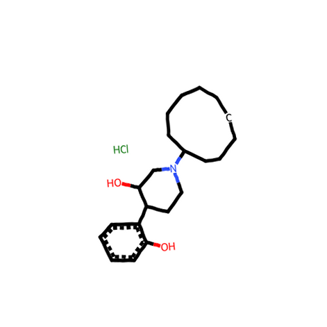 Cl.Oc1ccccc1C1CCN(C2CCCCCCCCC2)CC1O